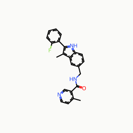 Cc1ccncc1C(=O)NCc1ccc2[nH]c(-c3ccccc3F)c(C)c2c1